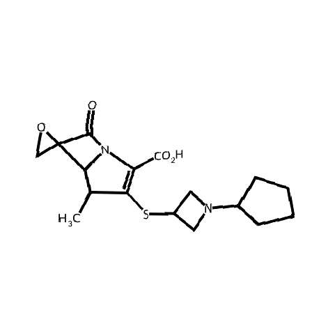 CC1C(SC2CN(C3CCCC3)C2)=C(C(=O)O)N2C(=O)C3(CO3)C12